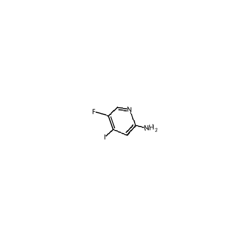 Nc1cc(I)c(F)cn1